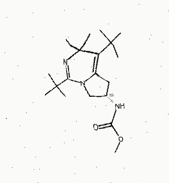 COC(=O)N[C@H]1CC2=C(C(C)(C)C)C(C)(C)N=C(C(C)(C)C)N2C1